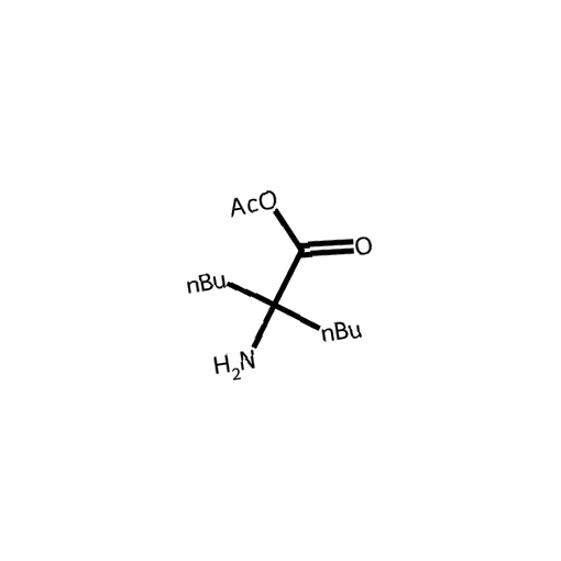 CCCCC(N)(CCCC)C(=O)OC(C)=O